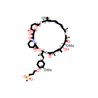 CO[C@H]1C[C@@H]2CC[C@@H](C)[C@@](O)(O2)C(=O)C(=O)N2CCCC[C@H]2C(=O)O[C@H]([C@H](C)C[C@@H]2CC[C@@H](OCCCS(C)(=O)=O)[C@H](OC)C2)CC(=O)[C@H](C)/C=C(\C)[C@@H](O)[C@@H](OC)C(=O)[C@H](C)C[C@H](C)/C=C/C=C/C=C/1C